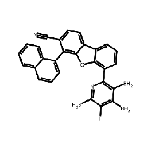 Bc1nc(-c2cccc3c2oc2c(-c4cccc5ccccc45)c(C#N)ccc23)c(B)c(B)c1F